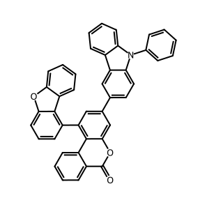 O=c1oc2cc(-c3ccc4c(c3)c3ccccc3n4-c3ccccc3)cc(-c3cccc4oc5ccccc5c34)c2c2ccccc12